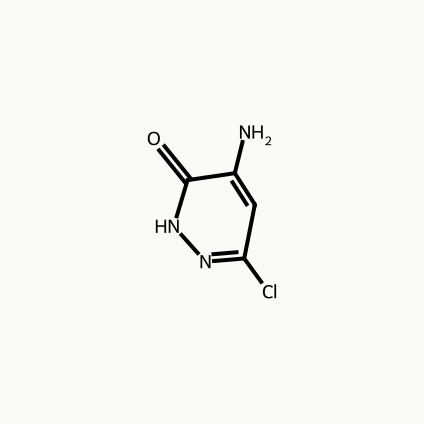 Nc1cc(Cl)n[nH]c1=O